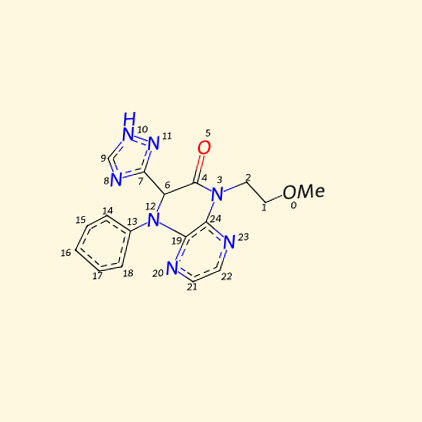 COCCN1C(=O)C(c2nc[nH]n2)N(c2ccccc2)c2nccnc21